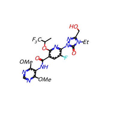 CCn1c(CO)nn(-c2nc(OC(C)C(F)(F)F)c(C(=O)Nc3c(OC)ncnc3OC)cc2F)c1=O